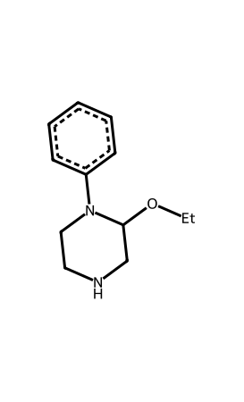 CCOC1CNCCN1c1ccccc1